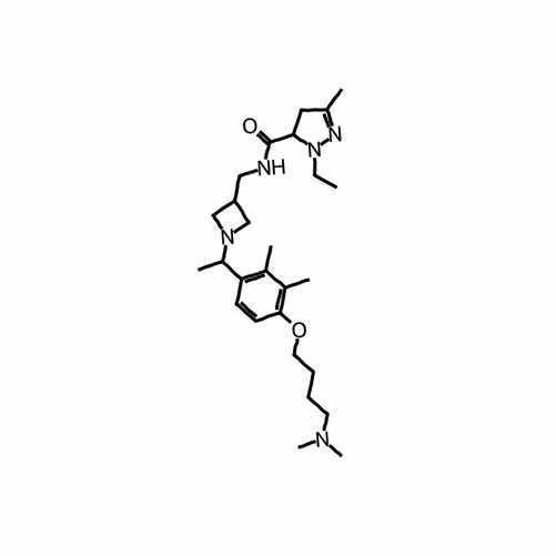 CCN1N=C(C)CC1C(=O)NCC1CN(C(C)c2ccc(OCCCCN(C)C)c(C)c2C)C1